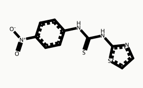 O=[N+]([O-])c1ccc(NC(=S)Nc2nccs2)cc1